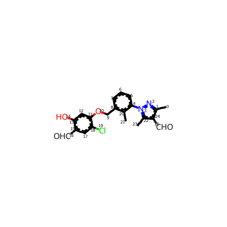 Cc1nn(-c2cccc(COc3cc(O)c(C=O)cc3Cl)c2C)c(C)c1C=O